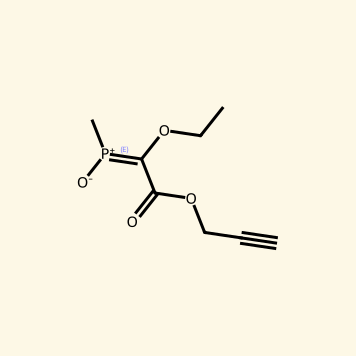 C#CCOC(=O)/C(OCC)=[P+](/C)[O-]